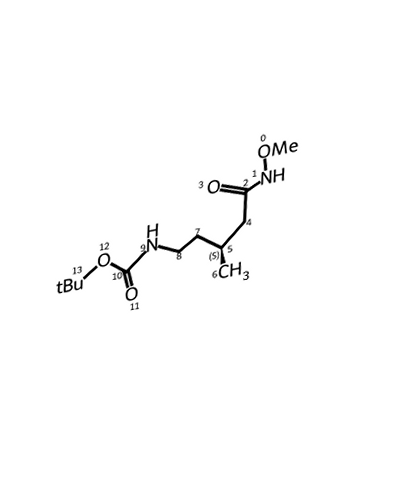 CONC(=O)C[C@@H](C)CCNC(=O)OC(C)(C)C